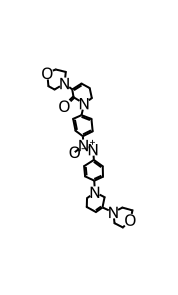 O=C1C(N2CCOCC2)=CCCN1c1ccc(/[N+]([O-])=N/c2ccc(N3CCC=C(N4CCOCC4)C3)cc2)cc1